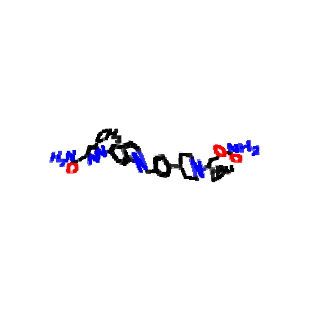 Cc1cc(C(N)=O)nn1-c1ccc2c(ccn2Cc2ccc(C3CCN(C(CCOC(N)=O)C(C)(C)C)CC3)cc2)c1